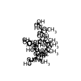 CCC[C@H](NC(=O)[C@@H]1C[C@@H](NS(=O)(=O)c2ccc(OC)cc2)CN1C(=O)[C@@H](NC(=O)[C@@H](NC(=O)[C@H](CCC(=O)O)NC(=O)[C@H](CCC(=O)O)NC(C)=O)C(C)C)C(C)C)C(=O)C(=O)NCC(=O)O